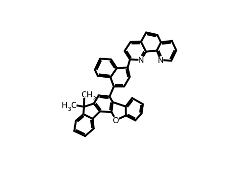 CC1(C)c2ccccc2-c2c1cc(-c1ccc(-c3ccc4ccc5cccnc5c4n3)c3ccccc13)c1c2oc2ccccc21